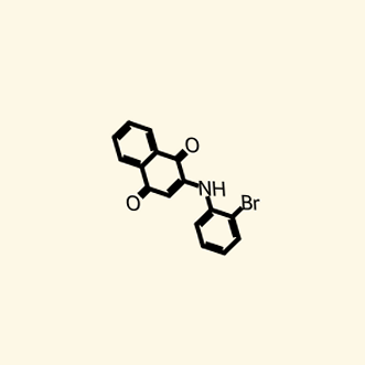 O=C1C=C(Nc2ccccc2Br)C(=O)c2ccccc21